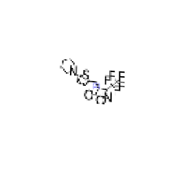 O=C1ON=C(C(F)(F)C(F)(F)F)/C1=C/c1ccc(N2CCCCC2)s1